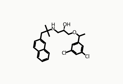 CC(OC[C@H](O)CNC(C)(C)Cc1ccc2ccccc2c1)c1cc(Cl)cc(Cl)c1